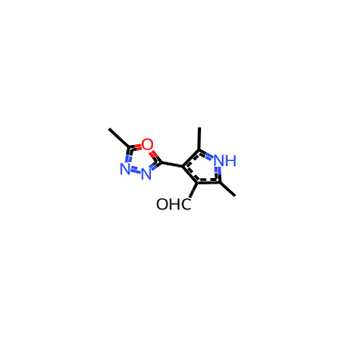 Cc1nnc(-c2c(C)[nH]c(C)c2C=O)o1